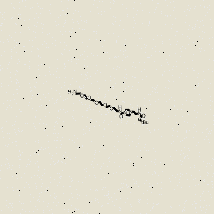 CC(C)(C)OC(=O)NCCN1CCN(C(=O)NCCOCCOCCOCCOCCOCCN)CC1